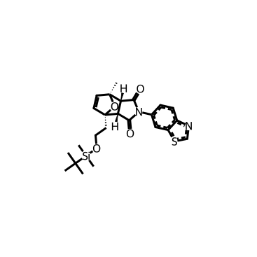 CC(C)(C)[Si](C)(C)OCC[C@]12C=C[C@](C)(O1)[C@@H]1C(=O)N(c3ccc4ncsc4c3)C(=O)[C@@H]12